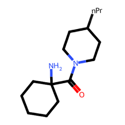 CCCC1CCN(C(=O)C2(N)CCCCC2)CC1